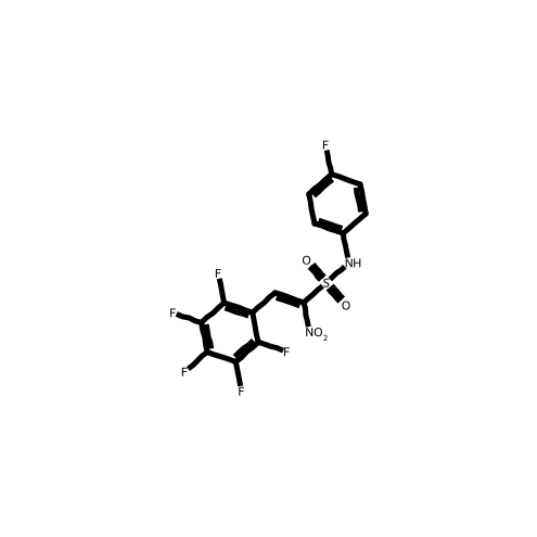 O=[N+]([O-])/C(=C\c1c(F)c(F)c(F)c(F)c1F)S(=O)(=O)Nc1ccc(F)cc1